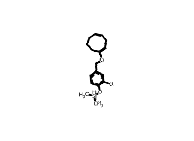 C[SiH](C)Oc1ccc(COC2CCC=CCCC2)cc1Cl